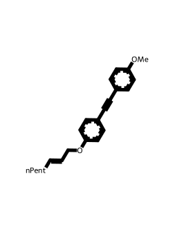 CCCCCC=CCOc1ccc(C#Cc2ccc(OC)cc2)cc1